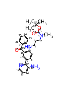 CN(CCCNc1ccc(-c2ncccc2N)cc1C(=O)c1ccccc1)C(=O)OC(C)(C)C